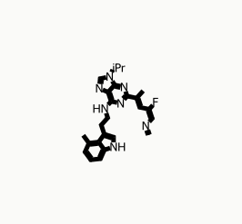 C=N/C=C(F)\C=C(/C)c1nc(NCCc2c[nH]c3cccc(C)c23)c2ncn(C(C)C)c2n1